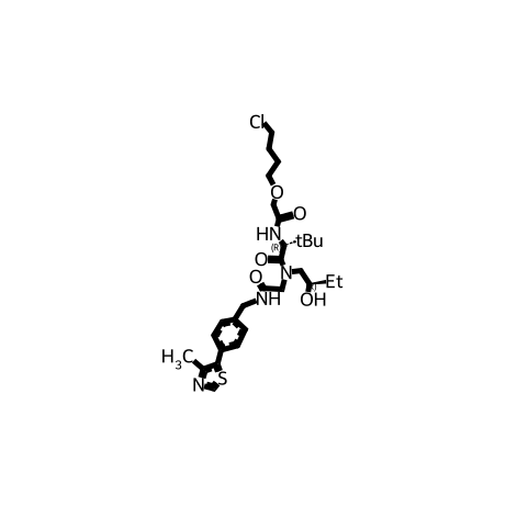 CC[C@@H](O)CN(CC(=O)NCc1ccc(-c2scnc2C)cc1)C(=O)[C@H](NC(=O)COCCCCCl)C(C)(C)C